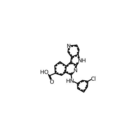 O=C(O)c1ccc2c(c1)c(Nc1cccc(Cl)c1)nc1[nH]c3ccncc3c12